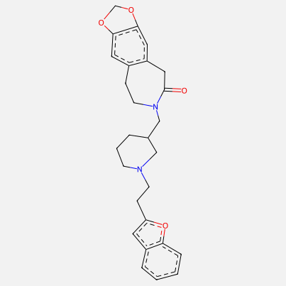 O=C1Cc2cc3c(cc2CCN1CC1CCCN(CCc2cc4ccccc4o2)C1)OCO3